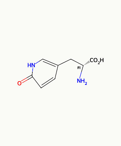 N[C@H](Cc1ccc(=O)[nH]c1)C(=O)O